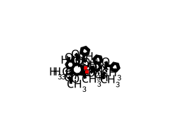 CC(=O)O[C@H]1C(=O)[C@@]2(C)[C@H]([C@H](OC(=O)c3ccccc3)[C@]3(O)C[C@H](OC(=O)[C@H](OC(C)C)[C@@H](NC(=O)c4ccccc4)c4ccccc4)C(C)=C1C3(C)C)[C@]1(OC(C)=O)CO[C@@H]1C[C@@H]2C